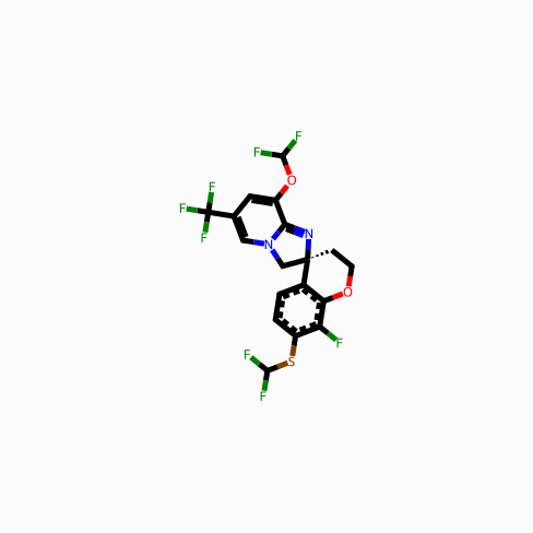 Fc1c(SC(F)F)ccc2c1OCC[C@@]21CN2C=C(C(F)(F)F)C=C(OC(F)F)C2=N1